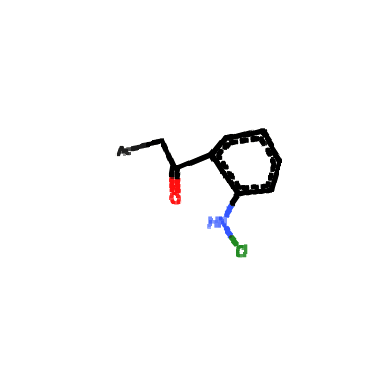 CC(=O)CC(=O)c1ccccc1NCl